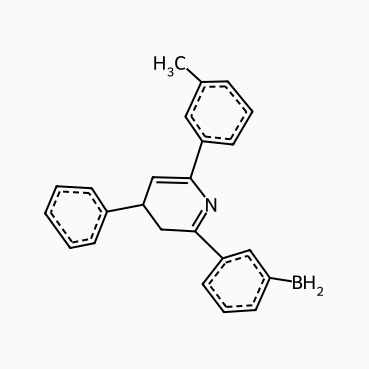 Bc1cccc(C2=NC(c3cccc(C)c3)=CC(c3ccccc3)C2)c1